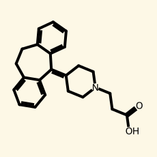 O=C(O)CCN1CCC(=C2c3ccccc3CCc3ccccc32)CC1